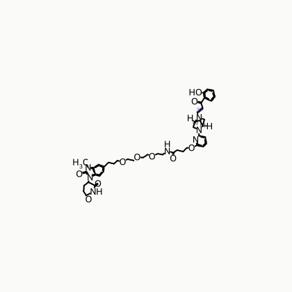 Cn1c(=O)n(C2CCC(=O)NC2=O)c2ccc(CCCOCCOCCOCCNC(=O)CCCOc3cccc(N4C[C@H]5C[C@@H]4CN5/C=C/C(=O)c4ccccc4O)n3)cc21